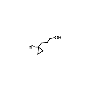 CCCC1(CCCO)CC1